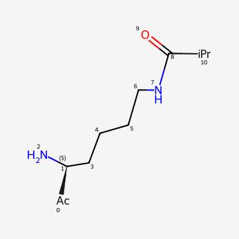 CC(=O)[C@@H](N)CCCCNC(=O)C(C)C